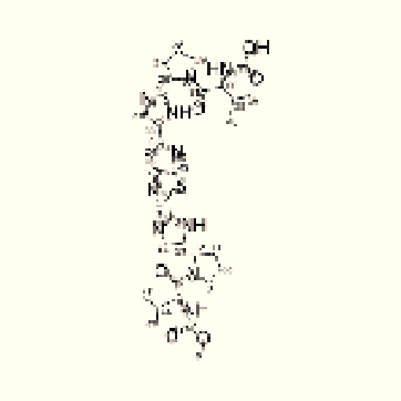 COC(=O)N[C@H](C(=O)N1CCCC1[C@@H]1CN=C(c2nc3sc(-c4cnc([C@@H]5CCCN5C(=O)[C@@H](NC(=O)O)C(C)C)[nH]4)nc3s2)N1)C(C)C